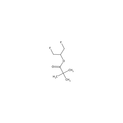 CC(C)(C)C(=O)OC(CF)CF